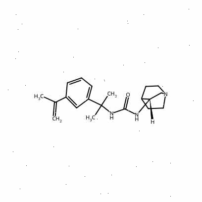 C=C(C)c1cccc(C(C)(C)NC(=O)N[C@H]2CN3CCC2CC3)c1